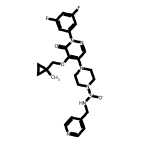 CC1(COc2c(N3CCN([S+]([O-])NCc4ccncc4)CC3)cnn(-c3cc(F)cc(F)c3)c2=O)CC1